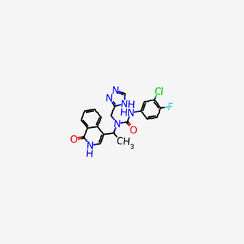 CC(c1c[nH]c(=O)c2ccccc12)N(Cc1nnc[nH]1)C(=O)Nc1ccc(F)c(Cl)c1